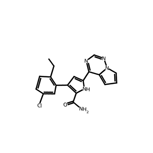 CCc1ccc(Cl)cc1-c1cc(-c2ncnn3cccc23)[nH]c1C(N)=O